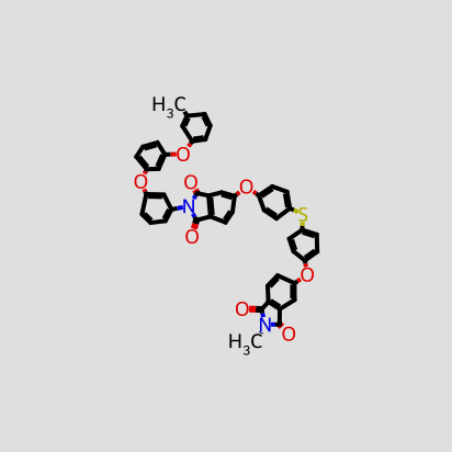 Cc1cccc(Oc2cccc(Oc3cccc(N4C(=O)c5ccc(Oc6ccc(Sc7ccc(Oc8ccc9c(c8)C(=O)N(C)C9=O)cc7)cc6)cc5C4=O)c3)c2)c1